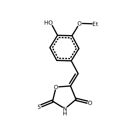 CCOc1cc(/C=C2\OC(=S)NC2=O)ccc1O